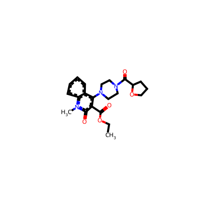 CCOC(=O)c1c(N2CCN(C(=O)C3CCCO3)CC2)c2ccccc2n(C)c1=O